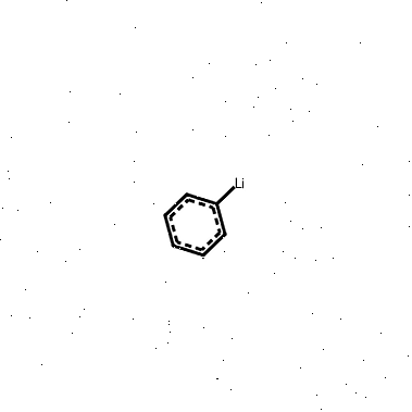 [Li][c]1c[c]ccc1